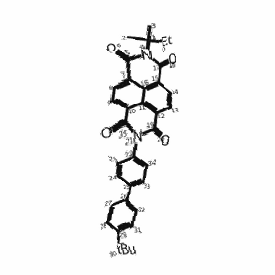 CCC(C)(C)N1C(=O)c2ccc3c4c(ccc(c24)C1=O)C(=O)N(c1ccc(-c2ccc(C(C)(C)C)cc2)cc1)C3=O